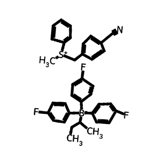 CCC(C)[B-](c1ccc(F)cc1)(c1ccc(F)cc1)c1ccc(F)cc1.C[S+](Cc1ccc(C#N)cc1)c1ccccc1